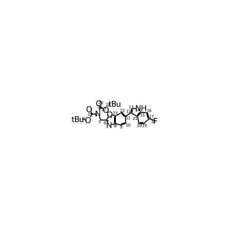 CC(C)(C)OC(=O)N(Cc1nc2ccc(-c3c[nH]c4cc(F)ccc34)cc2o1)C(=O)OC(C)(C)C